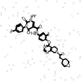 CC(C)n1cc(C(=O)Nc2ccc(Oc3ncnc4c3CCN(C(=O)CC3CCOCC3)C4)c(F)c2)c(=O)n(-c2ccc(F)cc2)c1=O